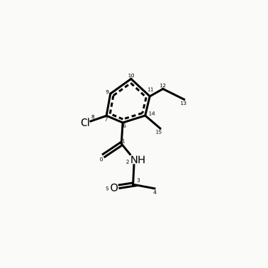 C=C(NC(C)=O)c1c(Cl)ccc(CC)c1C